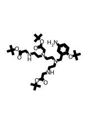 CC(C)(C)OC(=O)CNCCN(CCN(CCNCC(=O)OC(C)(C)C)Cc1cc(N)ccc1OC(C)(C)C)CC(=O)OC(C)(C)C